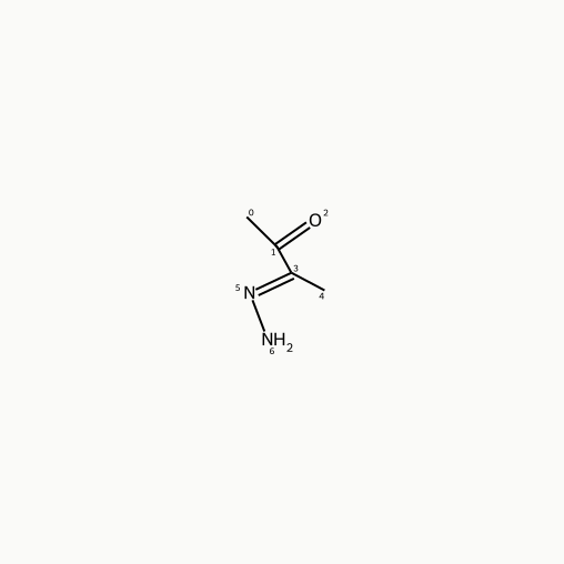 CC(=O)C(C)=NN